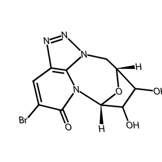 O=c1c(Br)cc2nnn3c2n1[C@@H]1O[C@H](C3)C(O)C1O